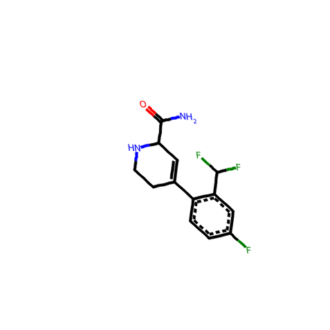 NC(=O)C1C=C(c2ccc(F)cc2C(F)F)CCN1